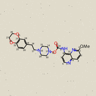 COc1ccc2nccc(NC(=O)ON3CCN(CCc4ccc5c(c4)OCCO5)CC3)c2n1